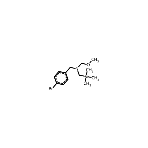 COCN(Cc1ccc(Br)cc1)C[Si](C)(C)C